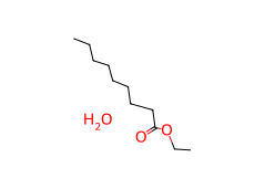 CCCCCCCCC(=O)OCC.O